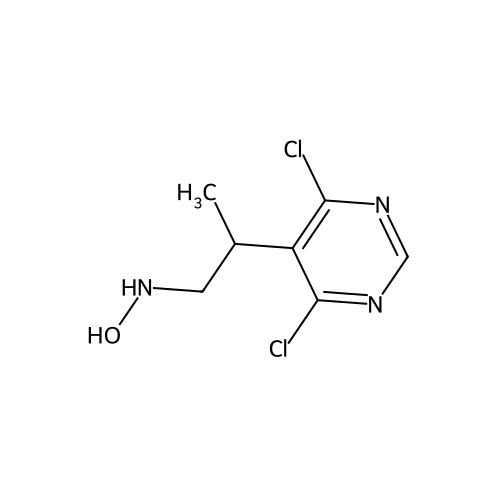 CC(CNO)c1c(Cl)ncnc1Cl